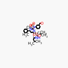 Cc1cccc(C)c1-c1cc(OC[C@@H](CC(C)C)NC(=O)OC(C)(C)C)nc(N(c2cccc(C=O)c2)[SH](=O)=O)n1